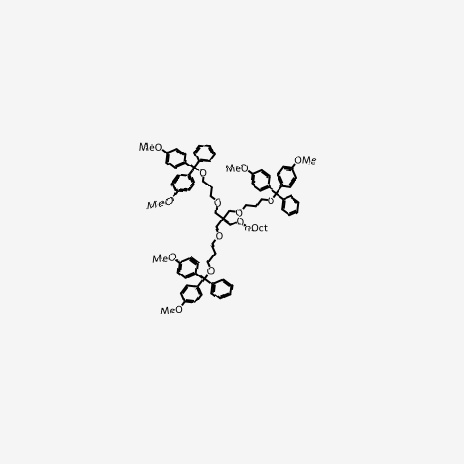 [CH2]CCCCCCCOCC(COCCCOC(c1ccccc1)(c1ccc(OC)cc1)c1ccc(OC)cc1)(COCCCOC(c1ccccc1)(c1ccc(OC)cc1)c1ccc(OC)cc1)COCCCOC(c1ccccc1)(c1ccc(OC)cc1)c1ccc(OC)cc1